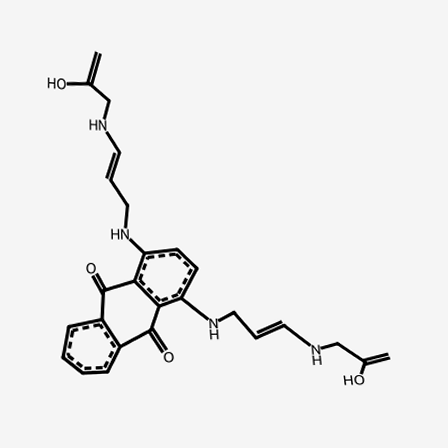 C=C(O)CNC=CCNc1ccc(NCC=CNCC(=C)O)c2c1C(=O)c1ccccc1C2=O